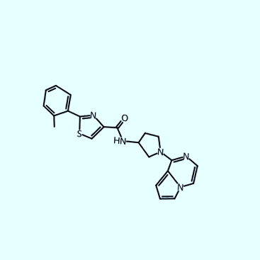 Cc1ccccc1-c1nc(C(=O)NC2CCN(c3nccn4cccc34)C2)cs1